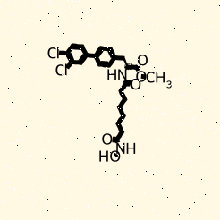 COC(=O)[C@H](Cc1ccc(-c2ccc(Cl)c(Cl)c2)cc1)NC(=O)CCCCCCC(=O)NO